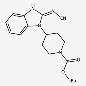 CC(C)(C)OC(=O)N1CCC(n2/c(=N\C#N)[nH]c3ccccc32)CC1